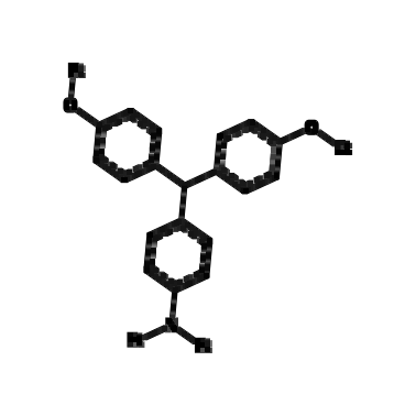 CCOc1ccc(C(c2ccc(OCC)cc2)c2ccc(N(CC)CC)cc2)cc1